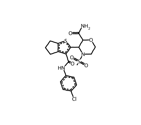 CS(=O)(=O)N1CCOC(C(N)=O)C1c1sc2c(c1C(=O)Nc1ccc(Cl)cc1)CCC2